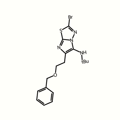 CC(C)(C)Nc1c(CCOCc2ccccc2)nc2sc(Br)nn12